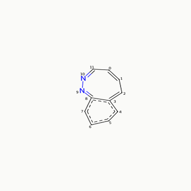 C1=C\C=c2\cccc\c2=N\N=C/1